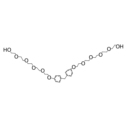 OCCOCCOCCOCCOCCOc1ccc(Cc2ccc(OCCOCCOCCOCCOCCO)cc2)cc1